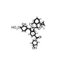 CC1CC(c2nn(C(=O)c3c(Cl)cccc3C3(C(F)(F)F)CC3)c3c2CCC(C(=O)N2CCC(O)CC2)C3)=CCC1C(=O)O